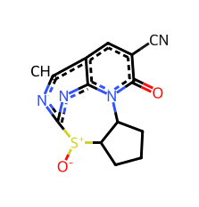 C.N#Cc1cc2cnc3nc2n(c1=O)C1CCCC1[S+]3[O-]